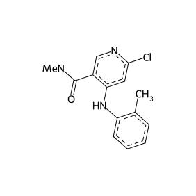 CNC(=O)c1cnc(Cl)cc1Nc1ccccc1C